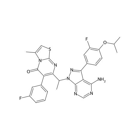 Cc1csc2nc(C(C)n3nc(-c4ccc(OC(C)C)c(F)c4)c4c(N)ncnc43)c(-c3cccc(F)c3)c(=O)n12